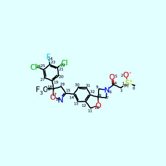 C[S@+]([O-])CC(=O)N1CC2(C1)OCc1cc(C3=NOC(c4cc(Cl)c(F)c(Cl)c4)(C(F)(F)F)C3)ccc12